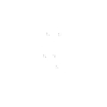 C1=CC(N2CCc3nc4ccc(-c5cnccn5)cc4n3CC2)=C1